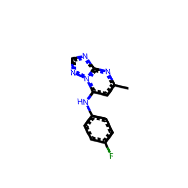 Cc1cc(Nc2ccc(F)cc2)n2ncnc2n1